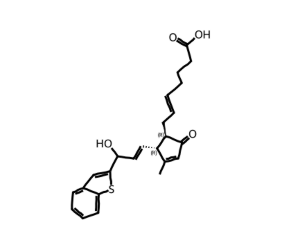 CC1=CC(=O)[C@H](CC=CCCCC(=O)O)[C@H]1C=CC(O)c1cc2ccccc2s1